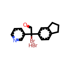 Br.O=CC(Br)(c1cccnc1)c1ccc2c(c1)CCC2